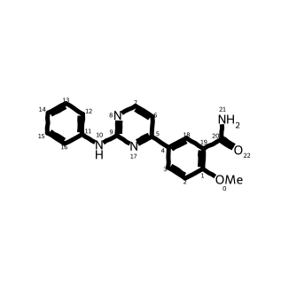 COc1ccc(-c2ccnc(Nc3ccccc3)n2)cc1C(N)=O